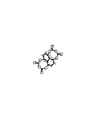 O=C1OC(=O)Oc2ccc3c4c(ccc(c24)O1)OC(=O)OC(=O)O3